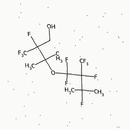 CC(C)(F)C(F)(C(F)(F)F)C(F)(F)OC(C)(C)C(F)(CO)C(F)(F)F